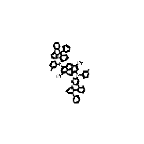 Cc1cccc(N(c2cccc(-c3ccccc3-c3ccccc3-c3ccccc3)c2)c2cc(C(C)C)c3ccc4c(N(c5cccc(C)c5)c5cccc(C6(c7ccccc7)c7ccccc7-c7ccccc76)c5)cc(C(C)C)c5ccc2c3c54)c1